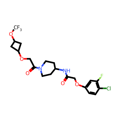 O=C(COc1ccc(Cl)c(F)c1)NC1CCN(C(=O)COC2CC(OC(F)(F)F)C2)CC1